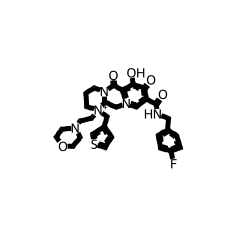 O=C(NCc1ccc(F)cc1)c1cn2c(c(O)c1=O)C(=O)N1CCC[N+](CCN3CCOCC3)(Cc3ccsc3)C1C2